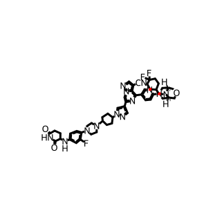 N#Cc1cnn2cc(-c3cnn(C4CCC(N5CCN(c6ccc(NC7CCC(=O)NC7=O)cc6F)CC5)CC4)c3)nc(-c3ccc(N4C[C@H]5COC[C@@H](C4)N5CC4CCC(F)(F)CC4)nc3)c12